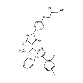 C[C@@H](c1ccccc1)[C@@H](c1ncc(-c2ccc(I)cc2F)[nH]1)N1C(=O)NC(c2ccc(OCC(O)CO)cc2)C1=O